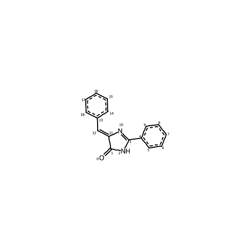 O=C1NC(c2ccccc2)=N/C1=C\c1ccccc1